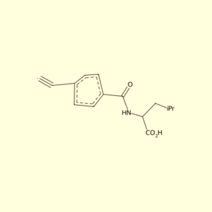 [C]#Cc1ccc(C(=O)NC(CC(C)C)C(=O)O)cc1